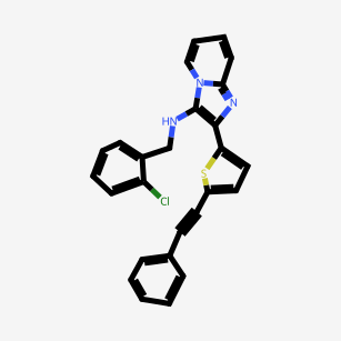 Clc1ccccc1CNc1c(-c2ccc(C#Cc3ccccc3)s2)nc2ccccn12